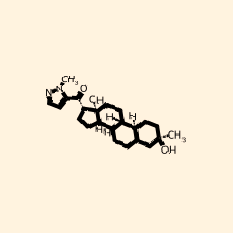 Cn1nccc1C(=O)[C@H]1CC[C@H]2[C@@H]3CCC4C[C@](C)(O)CC[C@@H]4[C@H]3CC[C@]12C